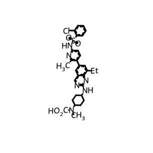 CCc1cc(-c2ccc(NS(=O)(=O)c3ccccc3Cl)nc2C)cc2cnc(NC3CCC(N(C)C(=O)O)CC3)nc12